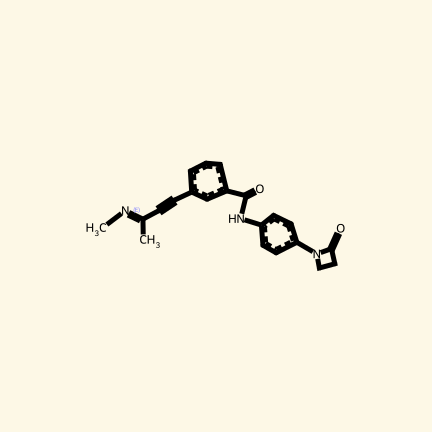 C/N=C(\C)C#Cc1cccc(C(=O)Nc2ccc(N3CCC3=O)cc2)c1